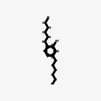 CCCCCCc1ccc(CCCCCC)c(I)c1